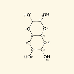 OC1OC2OC(O)C(O)OC2OC1O